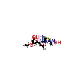 C=CCOC1=CC(O)OC([C@@H](CCC)NC(=O)C2(C)CSC(/C(C)=N/O)=N2)=C1